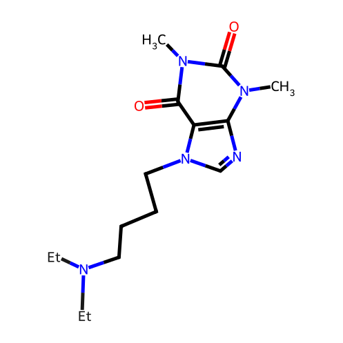 CCN(CC)CCCCn1cnc2c1c(=O)n(C)c(=O)n2C